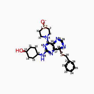 [O-][S+]1CCN(c2nc(NC3CCC(O)CC3)nc3c(SCc4ccccc4)ncnc23)CC1